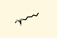 CCCCC[CH]NC(=O)OC